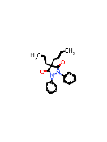 C=CCC1(C/C=C/C)C(=O)N(c2ccccc2)N(c2ccccc2)C1=O